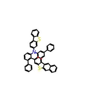 c1ccc(-c2cccc(N(c3ccc4c(c3)sc3ccccc34)c3cccc(-c4ccccc4)c3-c3ccc4c(c3)sc3cc5ccccc5cc34)c2)cc1